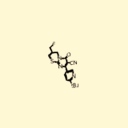 CC(C)(C)c1ccc(-c2nc3n(c(=O)c2C#N)CC(CF)CS3)cn1